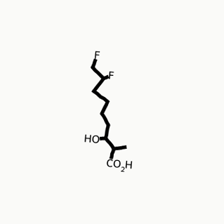 CC(C(=O)O)C(O)CCCCC(F)CF